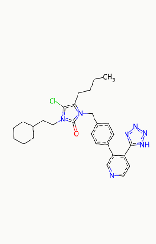 CCCCc1c(Cl)n(CCC2CCCCC2)c(=O)n1Cc1ccc(-c2cnccc2-c2nnn[nH]2)cc1